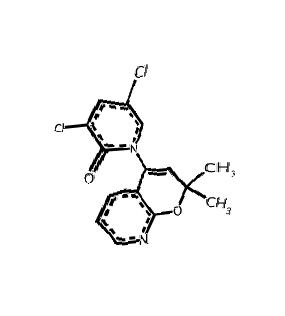 CC1(C)C=C(n2cc(Cl)cc(Cl)c2=O)c2cccnc2O1